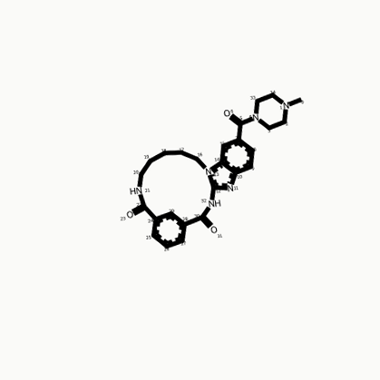 CN1CCN(C(=O)c2ccc3nc4n(c3c2)CCCCCNC(=O)c2cccc(c2)C(=O)N4)CC1